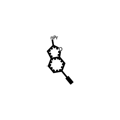 C#Cc1c[c]c2cc(CCC)oc2c1